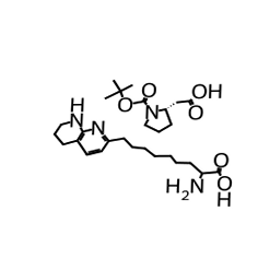 CC(C)(C)OC(=O)N1CCC[C@H]1CC(=O)O.NC(CCCCCCCc1ccc2c(n1)NCCC2)C(=O)O